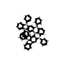 c1ccc(N2c3ccccc3P(c3ccccc3)c3cc4c(cc32)N(c2ccccc2)c2cccc3c2B4C2C4c5ccccc5N5c6ccccc6C(CC2N3c2ccccc2)C45)cc1